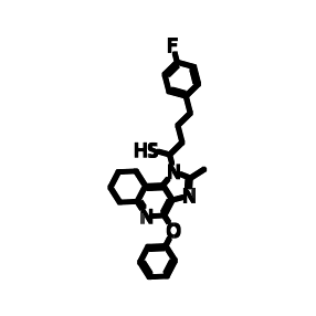 Cc1nc2c(Oc3ccccc3)nc3c(c2n1C(S)CCCc1ccc(F)cc1)CCCC3